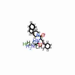 CC(C)(N)C(=O)NC(CCC1CCCCC1)C(=O)N1CCC2(CCc3ccccc32)CC1.Cl